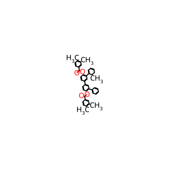 Cc1ccc(C(=O)Oc2ccc(-c3ccc(OC(=O)c4ccc(C)c(C)c4)c(-c4ccccc4)c3)cc2C2=CC=CCC2C)cc1C